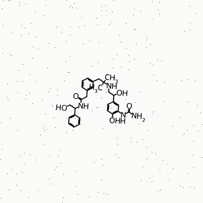 CC(C)(Cc1cccc(CC(=O)NC(CO)c2ccccc2)c1)NCC(O)c1ccc(O)c(NC(N)=O)c1